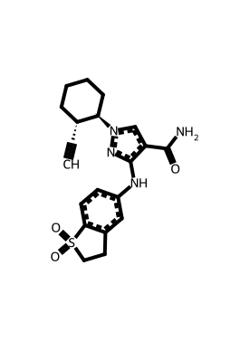 C#C[C@@H]1CCCC[C@H]1n1cc(C(N)=O)c(Nc2ccc3c(c2)CCS3(=O)=O)n1